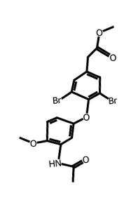 COC(=O)Cc1cc(Br)c(Oc2ccc(OC)c(NC(C)=O)c2)c(Br)c1